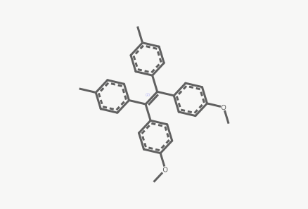 COc1ccc(/C(=C(/c2ccc(C)cc2)c2ccc(OC)cc2)c2ccc(C)cc2)cc1